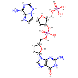 Nc1nc2c(ncn2[C@H]2CC[C@@H](COP(=O)(O)OC3C[C@H](c4cnc5c(N)ncnn45)O[C@@H]3COP(=O)(O)O)O2)c(=O)[nH]1